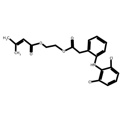 CC(C)=CC(=O)OCCOC(=O)Cc1ccccc1Nc1c(Cl)cccc1Cl